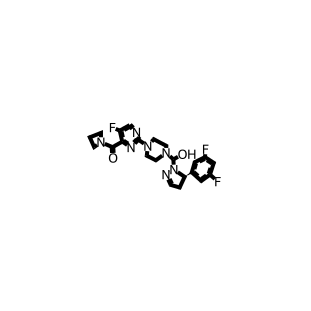 O=C(c1nc(N2CCN(C(O)N3N=CC[C@H]3c3cc(F)cc(F)c3)CC2)ncc1F)N1CCC1